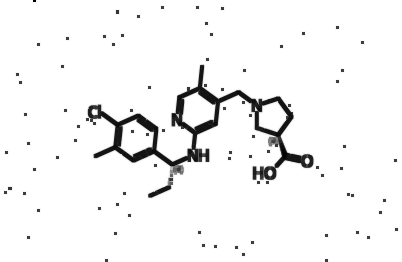 CC[C@@H](Nc1cc(CN2CC[C@@H](C(=O)O)C2)c(C)cn1)c1ccc(Cl)c(C)c1